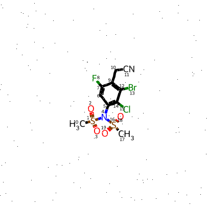 CS(=O)(=O)N(c1cc(F)c(CC#N)c(Br)c1Cl)S(C)(=O)=O